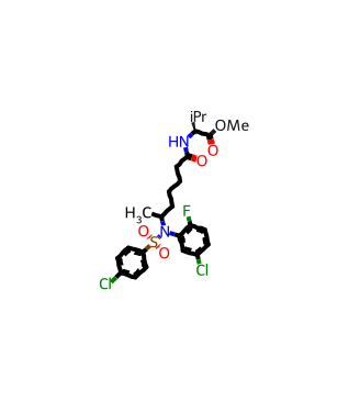 COC(=O)[C@@H](NC(=O)CCCCC(C)N(c1cc(Cl)ccc1F)S(=O)(=O)c1ccc(Cl)cc1)C(C)C